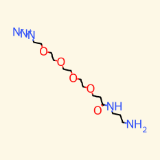 [N-]=[N+]=NCCOCCOCCOCCOCCC(=O)NCCCN